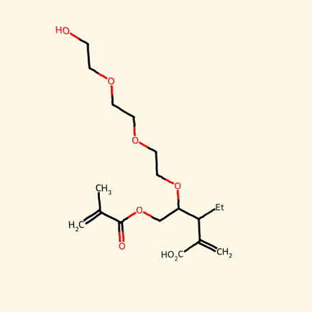 C=C(C)C(=O)OCC(OCCOCCOCCO)C(CC)C(=C)C(=O)O